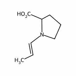 CC=CN1CCCC1C(=O)O